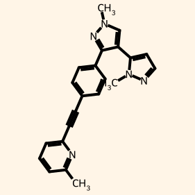 Cc1cccc(C#Cc2ccc(-c3nn(C)cc3-c3ccnn3C)cc2)n1